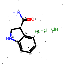 Cl.Cl.Cl.NC(=O)C1CNc2ccccc21